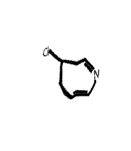 ClC1C=NC=CC1